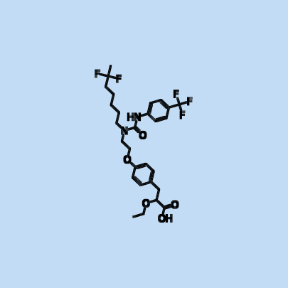 CCOC(Cc1ccc(OCCN(CCCCCC(C)(F)F)C(=O)Nc2ccc(C(F)(F)F)cc2)cc1)C(=O)O